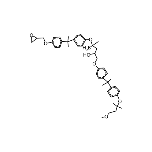 BC(C)(CC(O)COc1ccc(C(C)(C)c2ccc(OC(C)(C)CCOC)cc2)cc1)Oc1ccc(C(C)(C)c2ccc(OCC3CO3)cc2)cc1